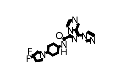 O=C(NC1CCC(N2CCC(F)(F)C2)CC1)c1nc(-n2ccnc2)c2cnccn12